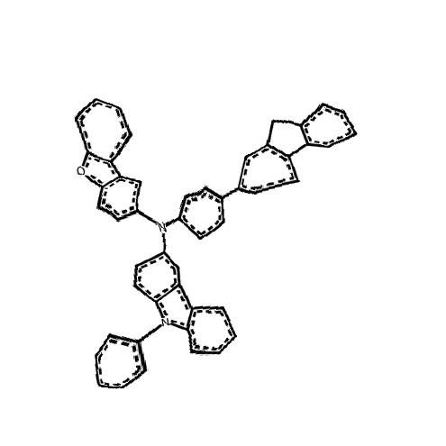 c1ccc(-n2c3ccccc3c3cc(N(c4ccc(-c5ccc6c(c5)Cc5ccccc5-6)cc4)c4ccc5oc6ccccc6c5c4)ccc32)cc1